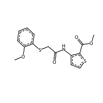 COC(=O)c1sccc1NC(=O)CSc1ccccc1OC